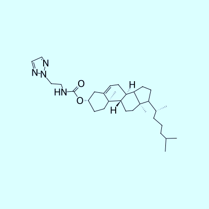 CC(C)CCC[C@@H](C)C1CCC2[C@@H]3CC=C4C[C@@H](OC(=O)NCCn5nccn5)CC[C@]4(C)[C@H]3CC[C@]12C